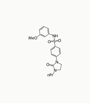 CCCN1CCN(c2ccc(S(=O)(=O)Nc3cccc(OC)c3)cc2)C1=O